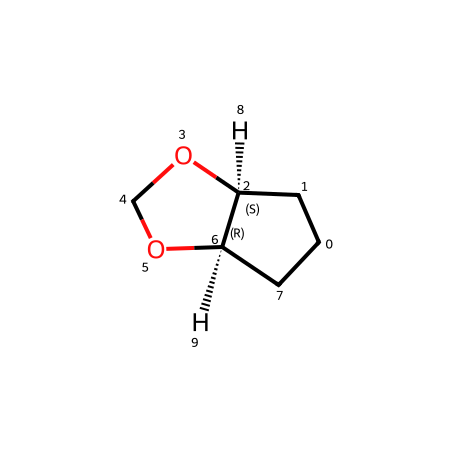 C1C[C@@H]2OCO[C@@H]2C1